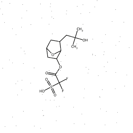 CC(C)(O)CC1CC2CC(OC(=O)C(F)(F)S(=O)(=O)O)C1O2